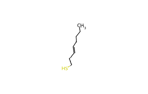 CCCCC=CCCS